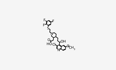 COc1ccc2ncc(Cl)c(C(O)CCC3CCN(CCSc4cc(F)cc(F)c4F)CC3CC(=O)O)c2c1